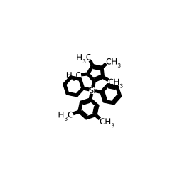 CC1=C(C)C(C)C([Si](c2ccccc2)(c2cc(C)cc(C)c2)C2CCCCC2)=C1C